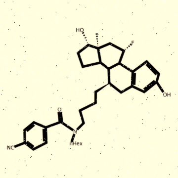 CCCCCCN(CCCC[C@@H]1Cc2cc(O)ccc2C2C1C1CC[C@H](O)[C@@]1(C)C[C@@H]2F)C(=O)c1ccc(C#N)cc1